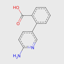 Nc1ccc(-c2ccccc2C(=O)O)cn1